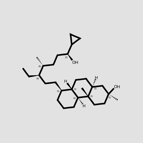 CC[C@H](CC[C@@H]1CCC[C@H]2[C@H]1CC[C@H]1C[C@@](C)(O)CC[C@@]12C)[C@H](C)CC[C@H](O)C1CC1